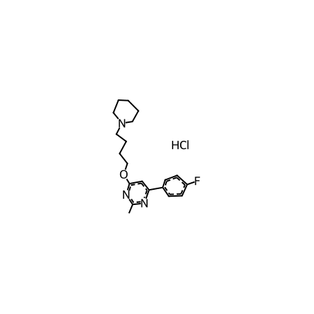 Cc1nc(OCCCCN2CCCCC2)cc(-c2ccc(F)cc2)n1.Cl